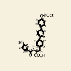 CCCCCCCCOc1ccc(-c2ccc(-c3ccc(C[C@H](NC(=O)c4ccc(C(C)(C)C)s4)C(=O)O)cc3)nc2)cc1